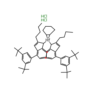 CCCCC1=Cc2c(-c3cc(C(C)(C)C)cc(C(C)(C)C)c3)cccc2[CH]1[Hf]1([CH]2C(CCCC)=Cc3c(-c4cc(C(C)(C)C)cc(C(C)(C)C)c4)cccc32)[CH]2CCCC[CH]21.Cl.Cl